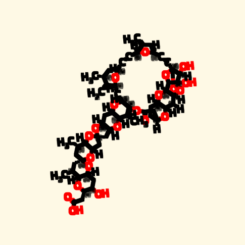 C=C1C[C@@H]2CC[C@]34OC5[C@@H]6O[C@H]7CC[C@H](CC(=O)O[C@@H]8[C@@H](C)[C@@H]9O[C@@H]%10C[C@@]%11(C[C@@H]%12O[C@]%13(C[C@H](C)[C@@H]%14O[C@H](CC(=O)O)[C@H](O)C[C@@H]%14O%13)C[C@H](C)[C@@H]%12O%11)O[C@@H]%10C[C@@H]9O[C@H]8C[C@H]8O[C@@H](CC[C@@H]1O2)C[C@@H](C)C8=C)O[C@@H]7[C@H](O3)[C@@H]6O[C@@]5(O)[C@H]4O